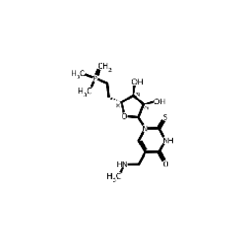 C=P(C)(C)CC[C@H]1OC(n2cc(CNC)c(=O)[nH]c2=S)[C@H](O)[C@@H]1O